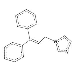 C(Cn1ccnc1)=C(c1ccccc1)c1ccccc1